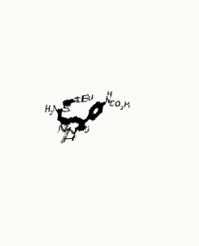 CC(C)(C)CSC(N)Cc1cc(-c2ccc(NC(=O)O)cc2)c(=O)[nH]n1